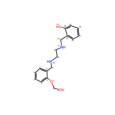 OCOc1ccccc1CNCCNCc1ccccc1O